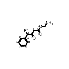 CCOC(=O)CC(=O)C(F)c1ccccc1